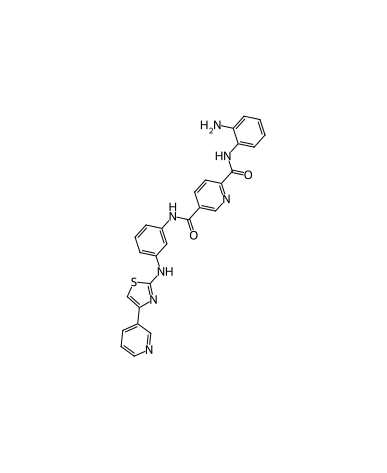 Nc1ccccc1NC(=O)c1ccc(C(=O)Nc2cccc(Nc3nc(-c4cccnc4)cs3)c2)cn1